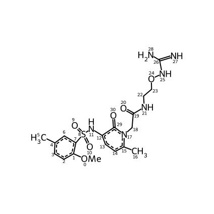 COc1ccc(C)cc1S(=O)(=O)Nc1ccc(C)n(CC(=O)NCCONC(=N)N)c1=O